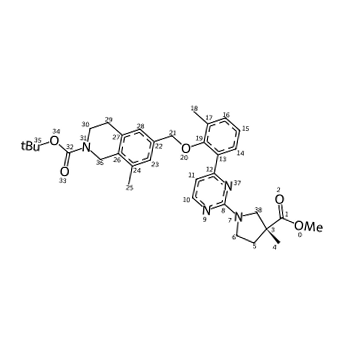 COC(=O)[C@]1(C)CCN(c2nccc(-c3cccc(C)c3OCc3cc(C)c4c(c3)CCN(C(=O)OC(C)(C)C)C4)n2)C1